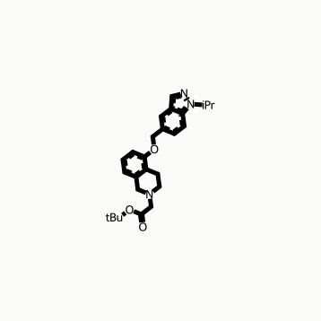 CC(C)n1ncc2cc(COc3cccc4c3CCN(CC(=O)OC(C)(C)C)C4)ccc21